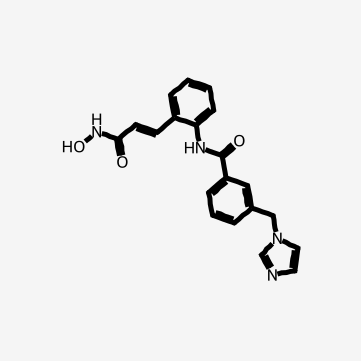 O=C(C=Cc1ccccc1NC(=O)c1cccc(Cn2ccnc2)c1)NO